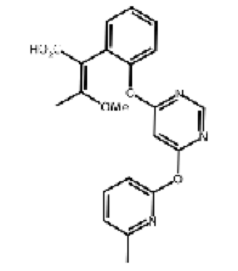 CO/C(C)=C(/C(=O)O)c1ccccc1Oc1cc(Oc2cccc(C)n2)ncn1